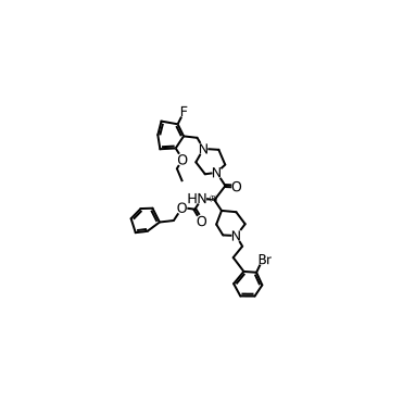 CCOc1cccc(F)c1CN1CCN(C(=O)[C@H](NC(=O)OCc2ccccc2)C2CCN(CCc3ccccc3Br)CC2)CC1